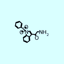 NCC(=O)c1cn(S(=O)(=O)c2ccccc2)c2ccccc12